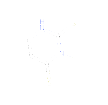 Fn1c(=S)cc[nH]c1=S